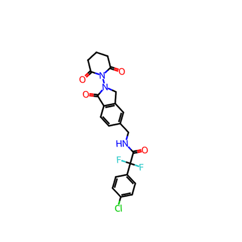 O=C1c2ccc(CNC(=O)C(F)(F)c3ccc(Cl)cc3)cc2CN1N1C(=O)CCCC1=O